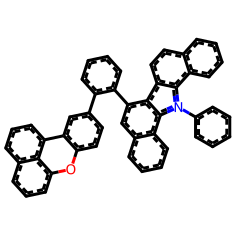 c1ccc(-n2c3c4ccccc4ccc3c3c(-c4ccccc4-c4ccc5c(c4)-c4cccc6cccc(c46)O5)cc4ccccc4c32)cc1